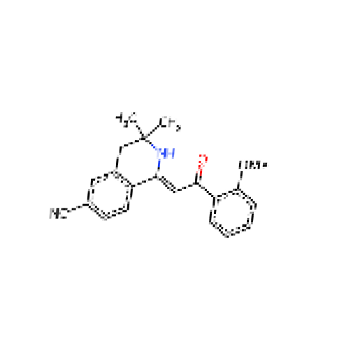 COc1ccccc1C(=O)C=C1NC(C)(C)Cc2cc(C#N)ccc21